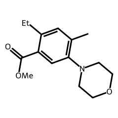 CCc1cc(C)c(N2CCOCC2)cc1C(=O)OC